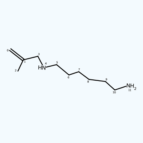 C=C(C)CNCCCCCCN